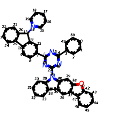 c1ccc(-c2nc(-c3ccc4c(c3)C([n+]3ccccc3)c3ccccc3-4)nc(-n3c4ccccc4c4cc5c(cc43)oc3ccccc35)n2)cc1